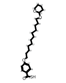 O=C(S)c1ccc(OCCCCCCCCCCCCOC2CCCCO2)cc1